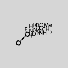 COC(=O)c1c(NC(=O)Nc2c(F)cc(C#Cc3ccccc3)cc2F)n[nH]c1C